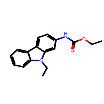 CCOC(=O)Nc1ccc2c3ccccc3n(CC)c2c1